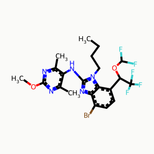 CCCCn1c(Nc2c(C)nc(OC)nc2C)nc2c(Br)ccc(C(OC(F)F)C(F)(F)F)c21